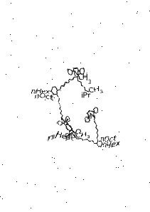 CCCCCCCCC1C(CCCCCC)CCC(CCCCCCCCC(C)(CCCCCC(C)C(C)C)N2C(=O)C=CC2=O)C1CCCCCCCCn1c(=O)c2cc3c(=O)n(C(C)(CCCCCCC)CCCCCCCC4CCC(CCCCCC)C(CCCCCCCC)C4CCCCCCCCN4C(=O)C=CC4=O)c(=O)c3cc2c1=O